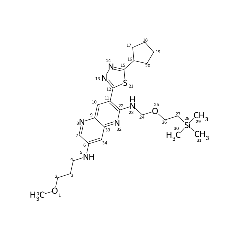 COCCCNc1cnc2cc(-c3nnc(C4CCCC4)s3)c(NCOCC[Si](C)(C)C)nc2c1